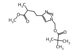 COC(=O)C(C)CCc1cn(COC(=O)C(C)(C)C)nn1